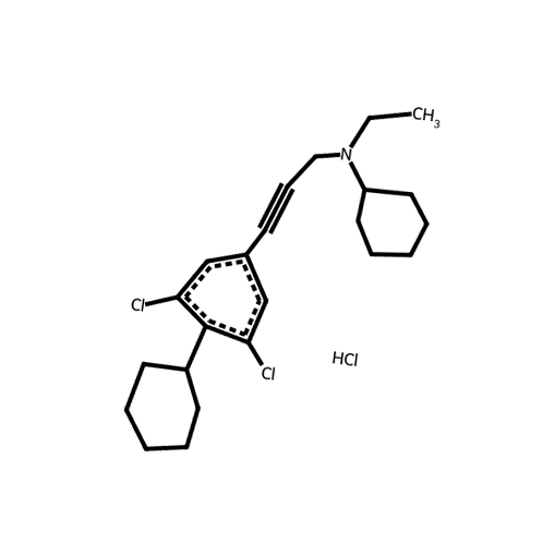 CCN(CC#Cc1cc(Cl)c(C2CCCCC2)c(Cl)c1)C1CCCCC1.Cl